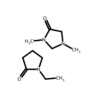 CCN1CCCC1=O.CN1CC(=O)N(C)C1